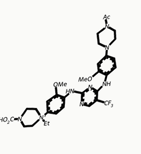 CC[N+]1(c2ccc(Nc3ncc(C(F)(F)F)c(Nc4ccc(N5CCN(C(C)=O)CC5)cc4OC)n3)c(OC)c2)CCN(C(=O)O)CC1